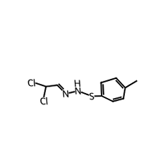 Cc1ccc(SN/N=C/C(Cl)Cl)cc1